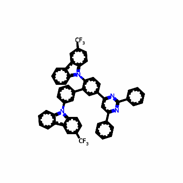 FC(F)(F)c1ccc2c(c1)c1ccccc1n2-c1cccc(-c2cc(-c3cc(-c4ccccc4)nc(-c4ccccc4)n3)ccc2-n2c3ccccc3c3cc(C(F)(F)F)ccc32)c1